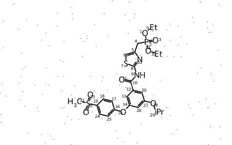 CCOP(=O)(Cc1csc(NC(=O)c2cc(Oc3ccc(S(C)(=O)=O)cc3)cc(OC(C)C)c2)n1)OCC